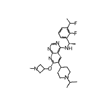 CC(F)c1cccc([C@@H](C)Nc2ncnc3nc(OC4CN(C)C4)c(C4CCN(C(C)C)CC4)cc23)c1F